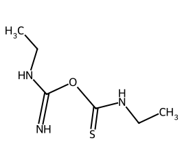 CCNC(=N)OC(=S)NCC